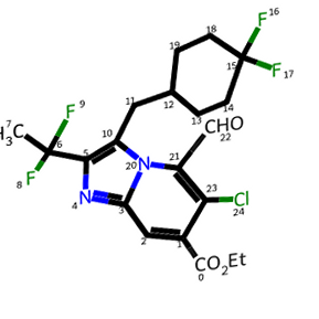 CCOC(=O)c1cc2nc(C(C)(F)F)c(CC3CCC(F)(F)CC3)n2c(C=O)c1Cl